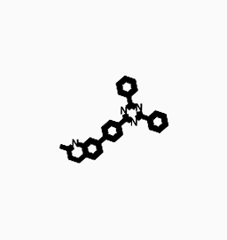 CC1=Nc2cc(-c3ccc(-c4nc(-c5ccccc5)nc(-c5ccccc5)n4)cc3)ccc2CC1